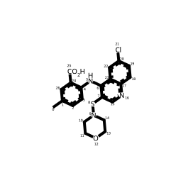 Cc1ccc(Nc2c(SN3CCOCC3)cnc3ccc(Cl)cc23)c(C(=O)O)c1